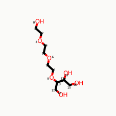 OCCOCCOCCOC(CO)C(O)CO